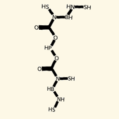 O=C(OPOC(=O)N(S)BNS)N(S)BNS